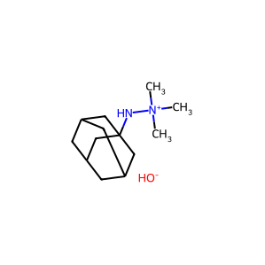 C[N+](C)(C)NC12CC3CC(CC(C3)C1)C2.[OH-]